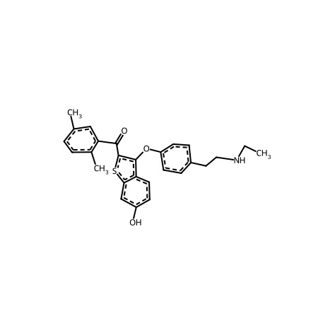 CCNCCc1ccc(Oc2c(C(=O)c3cc(C)ccc3C)sc3cc(O)ccc23)cc1